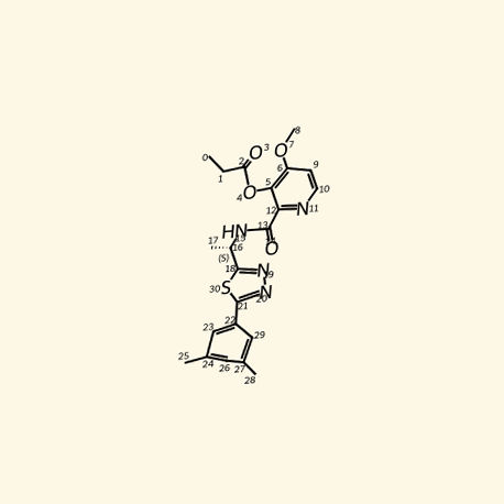 CCC(=O)Oc1c(OC)ccnc1C(=O)N[C@@H](C)c1nnc(-c2cc(C)cc(C)c2)s1